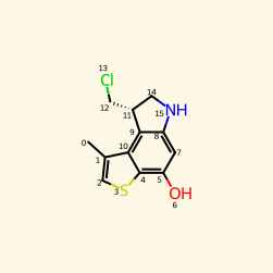 Cc1csc2c(O)cc3c(c12)[C@H](CCl)CN3